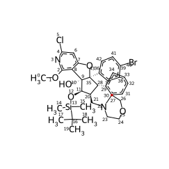 COc1nc(Cl)cc2c1[C@]1(O)[C@H](O[Si](C)(C)C(C)(C)C)[C@H](CN3CCOCC3)[C@@H](c3ccccc3)[C@]1(c1ccc(Br)cc1)O2